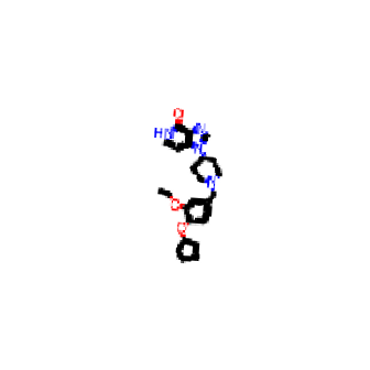 CCOc1cc(CN2CCC(n3cnc4c(=O)[nH]ccc43)CC2)ccc1OC1CCCC1